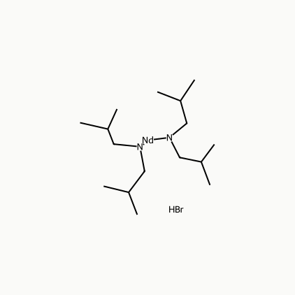 Br.CC(C)C[N](CC(C)C)[Nd][N](CC(C)C)CC(C)C